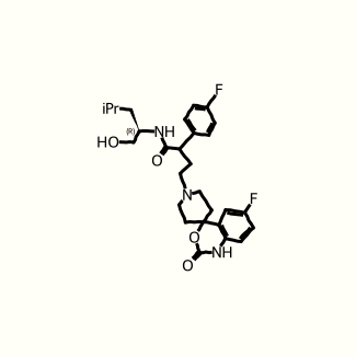 CC(C)C[C@H](CO)NC(=O)C(CCN1CCC2(CC1)OC(=O)Nc1ccc(F)cc12)c1ccc(F)cc1